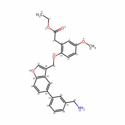 CCOC(=O)Cc1cc(OC)ccc1OCc1coc2ccc(-c3cccc(CN)c3)cc12